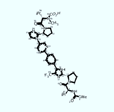 COC(=O)N[C@H](C(=O)N1CCC[C@H]1c1nc(C(F)(F)F)c(-c2ccc(-c3ncc(-n4ccnc4[C@@H]4CCCN4C(=O)[C@H](C(C)C)N(C)C(=O)O)cn3)cc2)[nH]1)C(C)C